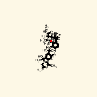 BC(B)(c1c(C=O)cccc1NC(O)(O)c1cc(C(B)(O)N2CC(C)OC(C)C2)ccc1F)N(C)C(B)(C(=O)NC)C(B)(B)C(B)(B)C=O